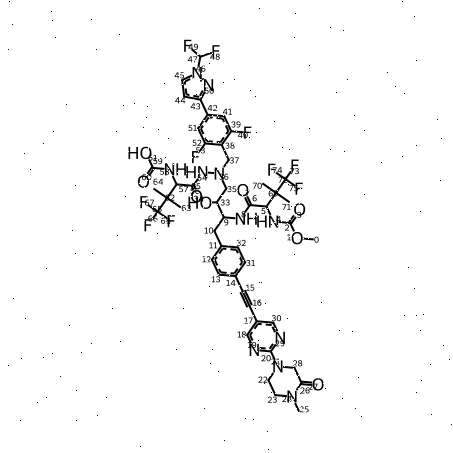 COC(=O)NC(C(=O)NC(Cc1ccc(C#Cc2cnc(N3CCN(C)C(=O)C3)nc2)cc1)C(O)CN(Cc1c(F)cc(-c2ccn(C(F)F)n2)cc1F)NC(=O)C(NC(=O)O)C(C)(C)C(F)(F)F)C(C)(C)C(F)(F)F